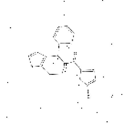 O=C(c1ccc(Cl)s1)N1CCc2sccc2C1c1ccccc1